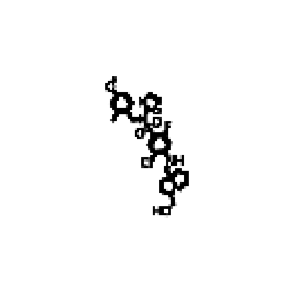 COc1ccc(CN(c2nccs2)S(=O)(=O)c2cc(Cl)c(NCC34CCCN3C(CO)CC4)cc2F)c(C)c1